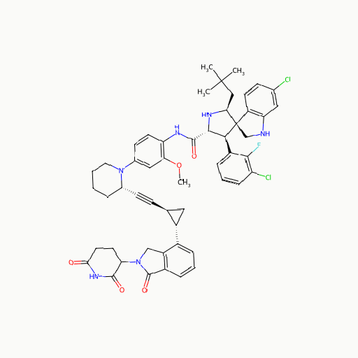 COc1cc(N2CCCC[C@H]2C#C[C@H]2C[C@@H]2c2cccc3c2CN(C2CCC(=O)NC2=O)C3=O)ccc1NC(=O)[C@@H]1N[C@@H](CC(C)(C)C)[C@@]2(CNc3cc(Cl)ccc32)[C@H]1c1cccc(Cl)c1F